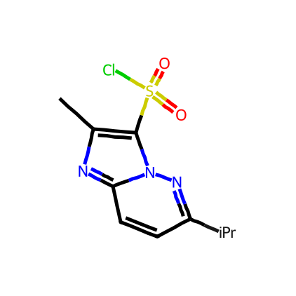 Cc1nc2ccc(C(C)C)nn2c1S(=O)(=O)Cl